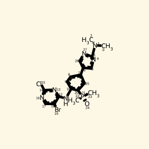 CN(C)c1ncc(-c2ccc(Nc3nc(Cl)ncc3Br)c(P(C)(C)=O)c2)cn1